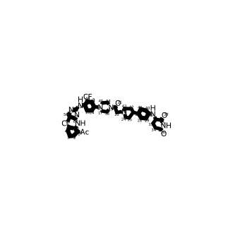 CC(=O)c1ccccc1Nc1nc(Nc2ccc(N3CCN(C(=O)CN4CCC(c5ccc(NC6CCC(=O)NC6=O)cc5)CC4)CC3)cc2C(F)(F)F)ncc1Cl